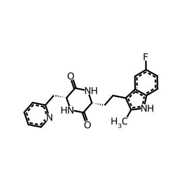 Cc1[nH]c2ccc(F)cc2c1CC[C@H]1NC(=O)[C@@H](Cc2ccccn2)NC1=O